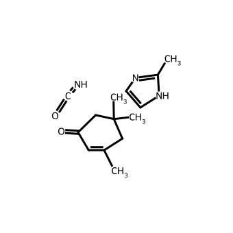 CC1=CC(=O)CC(C)(C)C1.Cc1ncc[nH]1.N=C=O